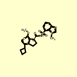 COc1ccc(C2CCC2)c2c1[C@@H](C(=O)NS(=O)(=O)c1cccc3ncn(C)c13)CC2